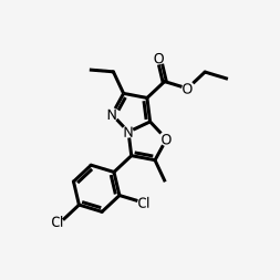 CCOC(=O)c1c(CC)nn2c(-c3ccc(Cl)cc3Cl)c(C)oc12